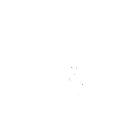 C=C([C@@H]1O[C@H](COC(=O)CC(C)C)[C@@H](O)[C@H]1O)N1N=CN=C(N)/C1=C/C